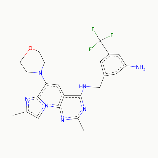 Cc1cn2c(n1)c(N1CCOCC1)cc1c(NCc3cc(N)cc(C(F)(F)F)c3)nc(C)nc12